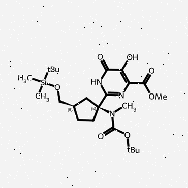 COC(=O)c1nc([C@]2(N(C)C(=O)OC(C)(C)C)CC[C@@H](CO[Si](C)(C)C(C)(C)C)C2)[nH]c(=O)c1O